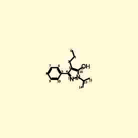 CCCc1c(-c2ccccc2)nn(C(C)C)c1O